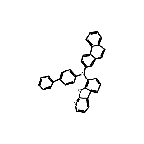 c1ccc(-c2ccc(N(c3ccc4c(ccc5ccccc54)c3)c3cccc4c3sc3ncccc34)cc2)cc1